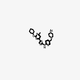 CC(=O)N1CCN(Cc2ccc(Nc3ncc(-c4cc(C)nc(OC5CCCCC5)n4)s3)nc2)CC1